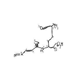 CCCCCC/C=C/C(=O)NC(CCC(N)=O)C(=O)O